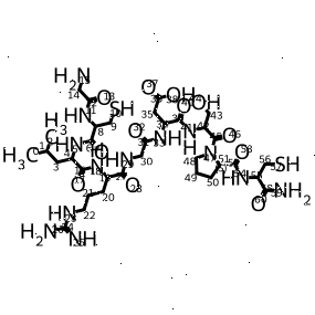 CC(C)CC(NC(=O)C(CS)NC(=O)CN)C(=O)NC(CCCNC(=N)N)C(=O)NCC(=O)NC(CC(=O)O)C(=O)NC(CO)C(=O)N1CCC[C@H]1C(=O)NC(CS)C(N)=O